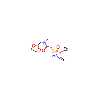 CCOP(=O)(NC(C)C)SCC(=O)N(C)CC1OCCO1